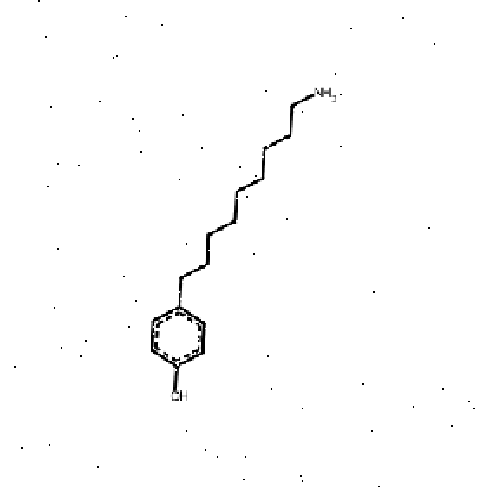 NCCCCCCCCCc1ccc(O)cc1